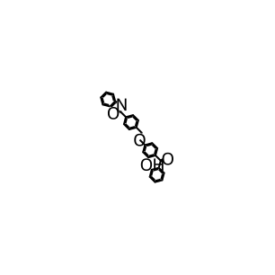 O=C(c1ccccc1)c1ccc(OCc2ccc(-c3nc4ccccc4o3)cc2)cc1O